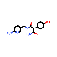 NC(=O)[C@@H](C(=O)NCc1ccc(N)nc1)c1ccc(O)cc1